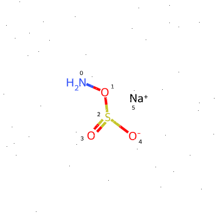 NOS(=O)[O-].[Na+]